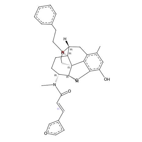 Cc1cc(O)c2c3c1C[C@@H]1[C@@H]4CC[C@@H](N(C)C(=O)/C=C/c5ccoc5)[C@H](O2)[C@]34CCN1CCc1ccccc1